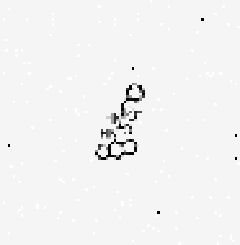 O=C(Nc1c2c(cc3c1CCC3)CCC2)N[S+]([O-])Cc1ccccc1